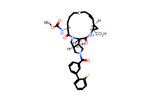 CC(C)(C)OC(=O)N[C@@H]1CCCCC/C=C\[C@H]2C[C@@]2(C(=O)O)NC(=O)[C@@H]2[C@H]3CN(C(=O)c4cccc(-c5ccccc5F)c4)C[C@H]3CN2C1=O